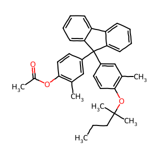 CCCC(C)(C)Oc1ccc(C2(c3ccc(OC(C)=O)c(C)c3)c3ccccc3-c3ccccc32)cc1C